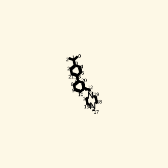 CC(C)c1ccc(-c2cccc(CN3CCN(C)CC3)c2)cc1